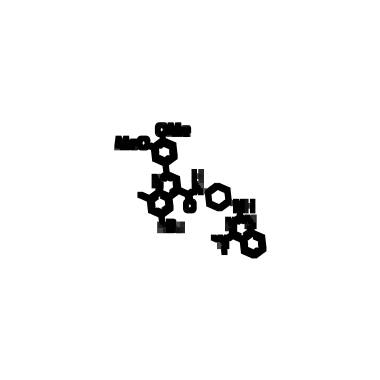 CCCCc1cc(C)c2nc(-c3ccc(OC)c(OC)c3)cc(C(=O)N[C@H]3CC[C@@H](Nc4nc(N(C)C)c5ccccc5n4)CC3)c2c1